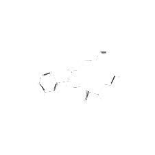 C=CCCCN[C@@H](COC(=O)C(C)CC=C)c1ccccc1